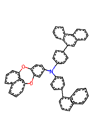 c1ccc2c(-c3ccc(N(c4ccc(-c5cc6ccccc6c6ccccc56)cc4)c4ccc5c(c4)Oc4cccc6cccc(c46)O5)cc3)cccc2c1